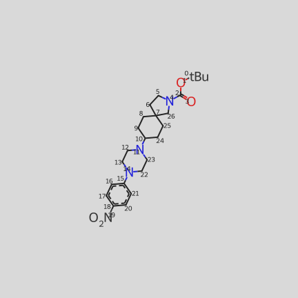 CC(C)(C)OC(=O)N1CCC2(CCC(N3CCN(c4ccc([N+](=O)[O-])cc4)CC3)CC2)C1